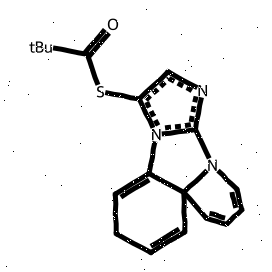 CC(C)(C)C(=O)Sc1cnc2n1C1=CCC=CC13C=CC=CN23